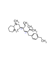 C=CC(/C=C(/Cc1ccc(CC)cc1)C(=C)C)=C(/C)CN(C)C1CCCCC1